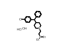 CCN(CC)CCN1CCC(C(c2ccccc2)c2ccc(Cl)cc2)CC1.Cl.Cl